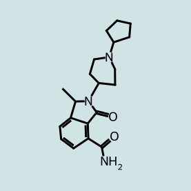 CC1c2cccc(C(N)=O)c2C(=O)N1C1CCN(C2CCCC2)CC1